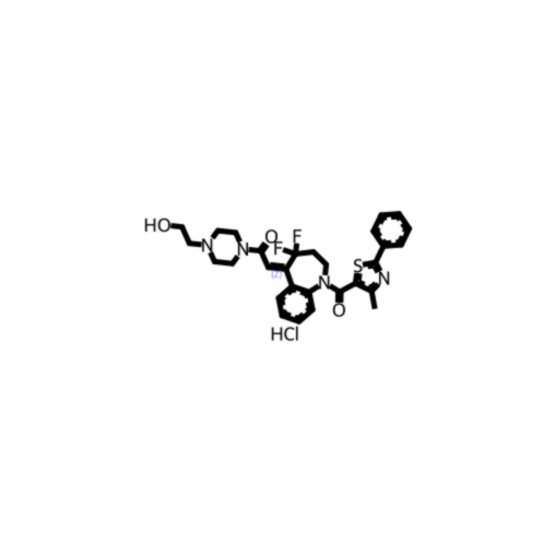 Cc1nc(-c2ccccc2)sc1C(=O)N1CCC(F)(F)/C(=C\C(=O)N2CCN(CCO)CC2)c2ccccc21.Cl